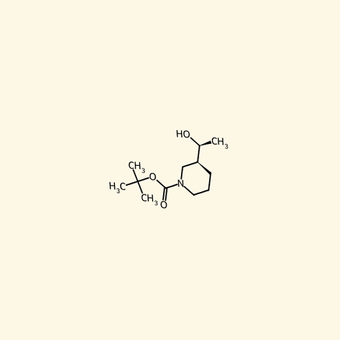 C[C@H](O)[C@H]1CCCN(C(=O)OC(C)(C)C)C1